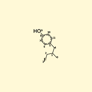 CC(CF)Cc1ccc(O)cc1